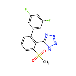 CS(=O)(=O)c1cccc(-c2cc(F)cc(F)c2)c1-c1nnn[nH]1